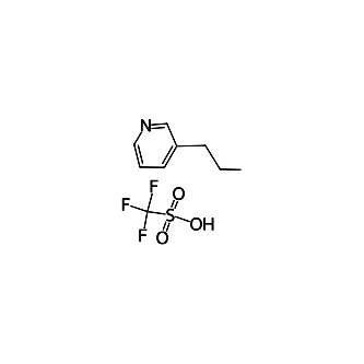 CCCc1cccnc1.O=S(=O)(O)C(F)(F)F